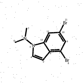 CN(C)n1ccc2c(Br)cc(Br)cc21